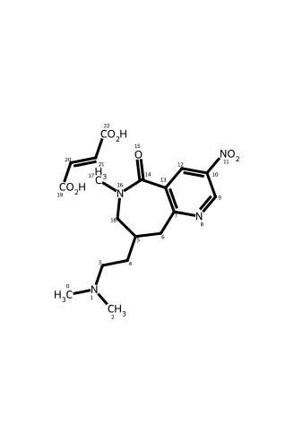 CN(C)CCC1Cc2ncc([N+](=O)[O-])cc2C(=O)N(C)C1.O=C(O)/C=C/C(=O)O